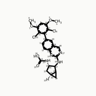 COc1cc(OC)c(Cl)c(-c2ccc3nc(NC4C5C[C@H]5C[C@@H]4NC(=O)O)ncc3c2)c1Cl